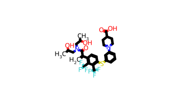 C=C(C(=O)N(CC(C)O)CC(C)O)c1ccc(Sc2cccc(N3CCC(C(=O)O)CC3)c2)c(C(F)(F)F)c1C(F)(F)F